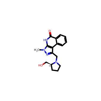 Cn1nc(CN2CCC[C@H]2CO)c2c3ccccc3c(=O)[nH]c21